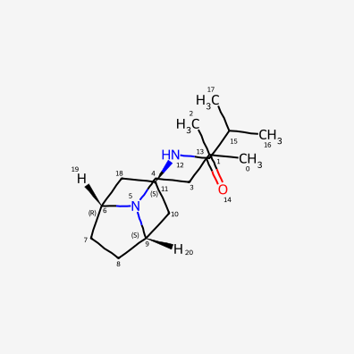 CC(C)CCN1[C@@H]2CC[C@H]1C[C@H](NC(=O)C(C)C)C2